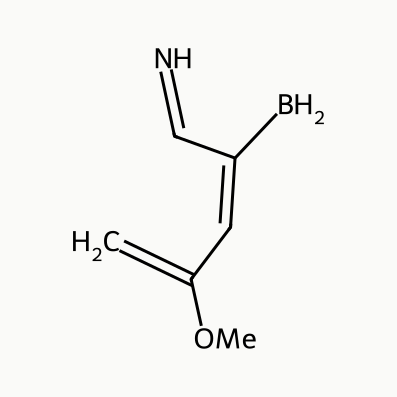 B/C(C=N)=C/C(=C)OC